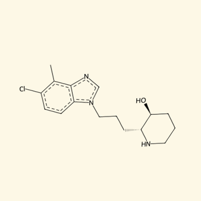 Cc1c(Cl)ccc2c1ncn2CCC[C@H]1NCCC[C@@H]1O